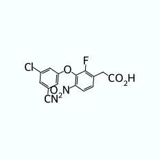 N#Cc1cc(Cl)cc(Oc2c([N+](=O)[O-])ccc(CC(=O)O)c2F)c1